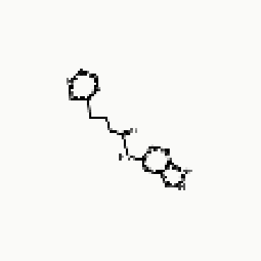 O=C(CCCc1cccnc1)Nc1ccc2[nH]ncc2c1